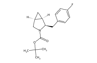 CC(C)(C)OC(=O)N1C[C@H]2C[C@H]2[C@H]1Cc1ccc(F)cc1